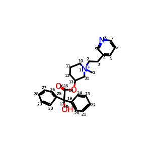 C[N+]1(CCc2cccnc2)CCCC(OC(=O)C(O)(c2ccccc2)c2ccccc2)C1